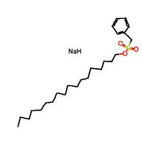 CCCCCCCCCCCCCCCCCCOS(=O)(=O)Cc1ccccc1.[NaH]